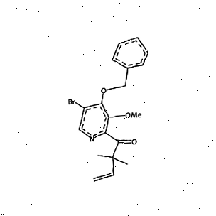 C=CC(C)(C)C(=O)c1ncc(Br)c(OCc2ccccc2)c1OC